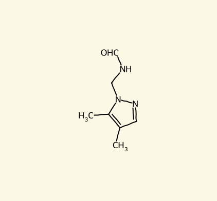 Cc1cnn(CNC=O)c1C